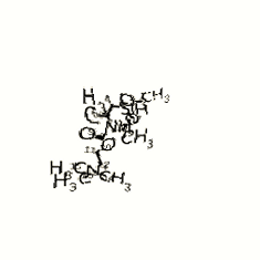 CCO[SiH](CC(C)NC(=O)OCC[N+](C)(C)C)OCC